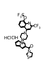 Cl.Cl.O=C(C1=CC2=CC=C[N@@+]2(N2CCN(c3cc(C(F)(F)F)nc4c(OC(F)(F)F)cccc34)CC2)C1)N1CCSC1